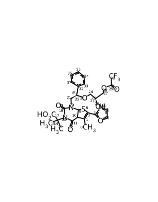 CC1=C(c2ncco2)SC2C1C(=O)N(C(C)(C)C(=O)O)C(=O)N2C[C@H](OC[C@H](C)COC(=O)C(F)(F)F)c1ccccc1